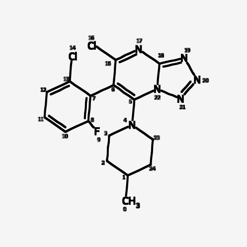 CC1CCN(c2c(-c3c(F)cccc3Cl)c(Cl)nc3nnnn23)CC1